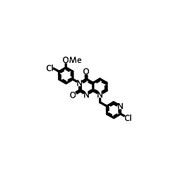 COc1cc(-n2c(=O)nc3n(Cc4ccc(Cl)nc4)cccc-3c2=O)ccc1Cl